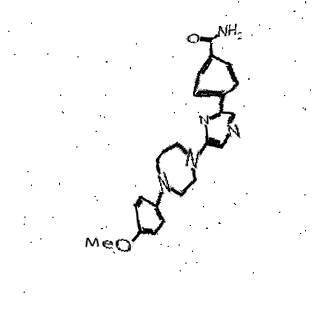 COc1ccc(N2CCN(c3cncc(-c4ccc(C(N)=O)cc4)n3)CC2)cc1